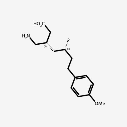 COc1ccc(CC[C@@H](C)C[C@H](CN)CC(=O)O)cc1